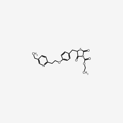 CCOC(=O)N1C(=O)SC(Cc2ccc(OCCc3ccc(CC)cn3)cc2)C1=O